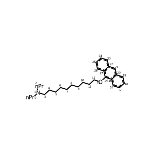 CCCN(CCC)CCCCCCCCCCOc1c2ccccc2cc2ccccc12